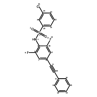 O=S(=O)(Nc1c(F)cc(C#Cc2ccccc2)cc1F)c1cccc(Cl)c1